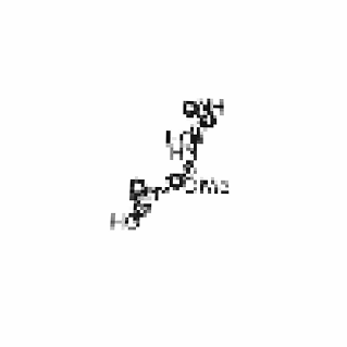 COc1cc(CCO[C@@H]2CCCC[C@@H]2N2CCC(O)C2)ccc1OCCNC[C@@H](O)COc1cccc2[nH]c3ccccc3c12